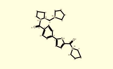 O=C(c1ccc(-c2ccc(C(=O)N3CCC[C@H]3CN3CCCC3)cc2)s1)N1CCCC1